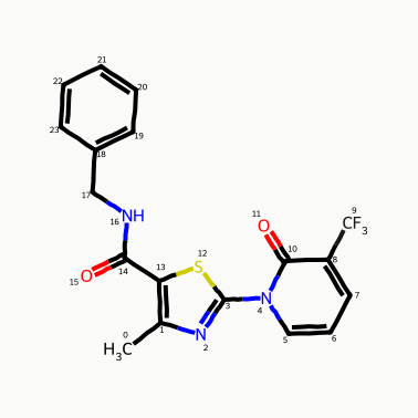 Cc1nc(-n2cccc(C(F)(F)F)c2=O)sc1C(=O)NCc1ccccc1